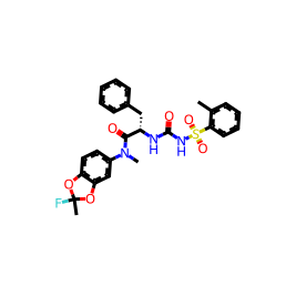 Cc1ccccc1S(=O)(=O)NC(=O)N[C@@H](Cc1ccccc1)C(=O)N(C)c1ccc2c(c1)OC(C)(F)O2